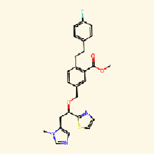 COC(=O)c1cc(COC(Cc2cncn2C)c2nccs2)ccc1CCc1ccc(F)cc1